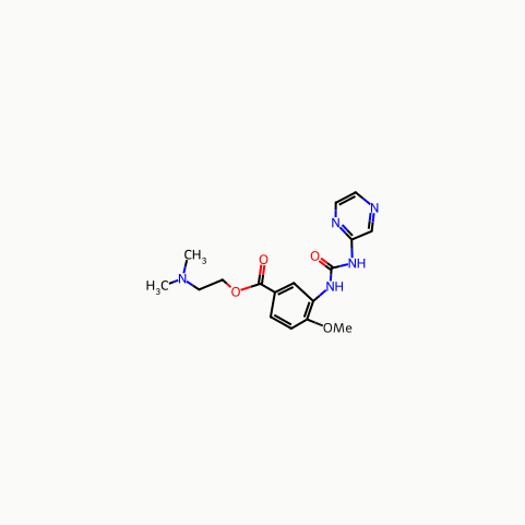 COc1ccc(C(=O)OCCN(C)C)cc1NC(=O)Nc1cnccn1